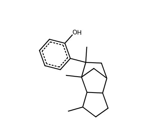 CC1CCC2C3CC(C)(c4ccccc4O)C(C)(C3)C12